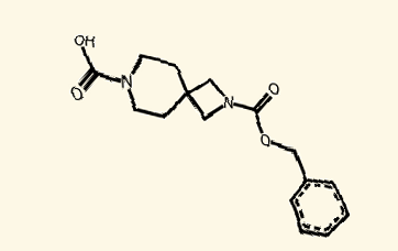 O=C(O)N1CCC2(CC1)CN(C(=O)OCc1ccccc1)C2